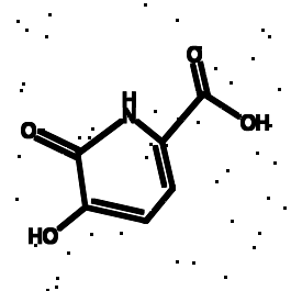 O=C(O)c1ccc(O)c(=O)[nH]1